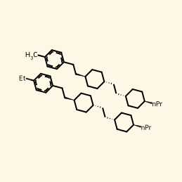 CCC[C@H]1CC[C@H](CC[C@H]2CC[C@H](CCc3ccc(C)cc3)CC2)CC1.CCC[C@H]1CC[C@H](CC[C@H]2CC[C@H](CCc3ccc(CC)cc3)CC2)CC1